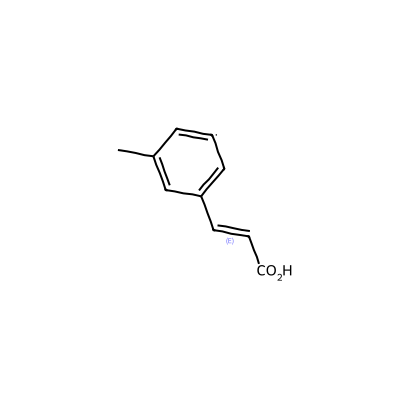 Cc1c[c]cc(/C=C/C(=O)O)c1